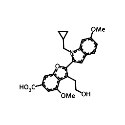 COc1ccc2cc(-c3oc4cc(C(=O)O)cc(OC)c4c3CCO)n(CC3CC3)c2c1